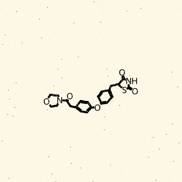 O=C1NC(=O)C(Cc2ccc(Oc3ccc(CC(=O)N4CCOCC4)cc3)cc2)S1